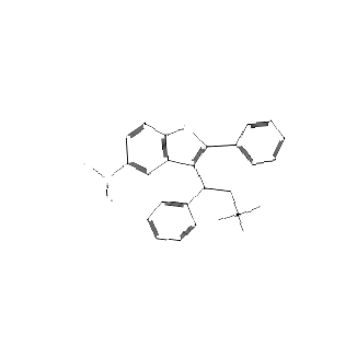 OB(O)c1ccc2[nH]c(-c3ccccc3)c(C(CC(F)(F)F)c3ccccc3)c2c1